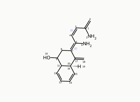 C=C(N)/C=C\C(N)=C1/CC(O)C2C=CC=C[C@@H]2C1=C